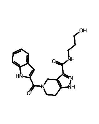 O=C(NCCCO)c1n[nH]c2c1CN(C(=O)c1cc3ccccc3[nH]1)CC2